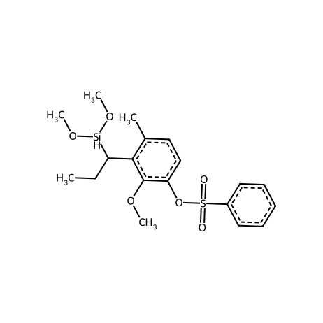 CCC(c1c(C)ccc(OS(=O)(=O)c2ccccc2)c1OC)[SiH](OC)OC